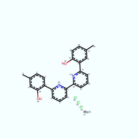 Cc1ccc(-c2cccc(-c3cccc(-c4cc(C)ccc4O)n3)n2)c(O)c1.[Cl-].[Cl-].[Cl-].[Mn+3]